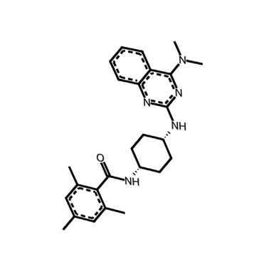 Cc1cc(C)c(C(=O)N[C@H]2CC[C@@H](Nc3nc(N(C)C)c4ccccc4n3)CC2)c(C)c1